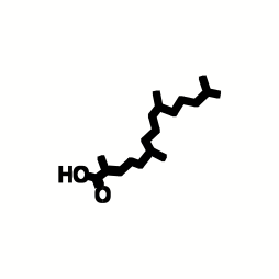 C/C(=C\CCC(C)CCCC(C)CCCC(C)C)C(=O)O